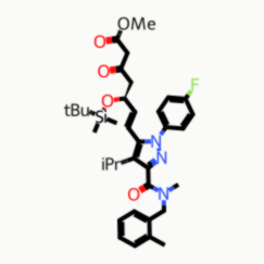 COC(=O)CC(=O)C[C@@H](/C=C/c1c(C(C)C)c(C(=O)N(C)Cc2ccccc2C)nn1-c1ccc(F)cc1)O[Si](C)(C)C(C)(C)C